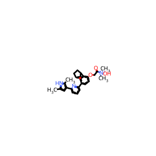 Cc1cc(-c2cccc(-c3ccc(OCC(=O)[N+](C)(C)O)c4c3C3CCC4C3)n2)c(C)[nH]1